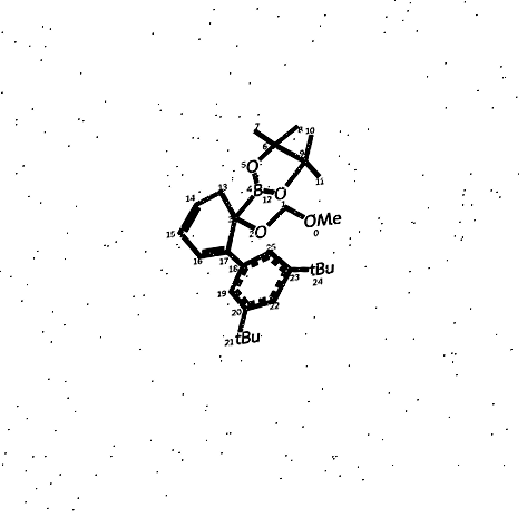 COCOC1(B2OC(C)(C)C(C)(C)O2)CC=CC=C1c1cc(C(C)(C)C)cc(C(C)(C)C)c1